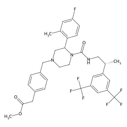 COC(=O)Cc1ccc(CN2CCN(C(=O)NC[C@H](C)c3cc(C(F)(F)F)cc(C(F)(F)F)c3)C(c3ccc(F)cc3C)C2)cc1